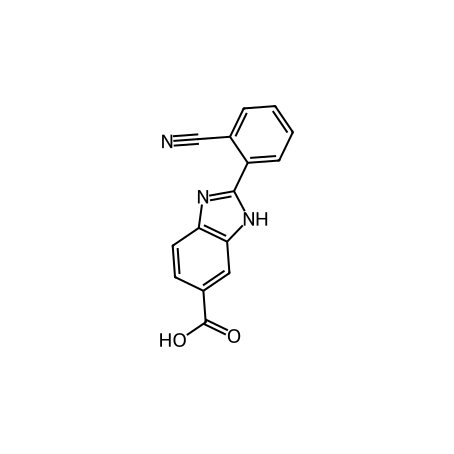 N#Cc1ccccc1-c1nc2ccc(C(=O)O)cc2[nH]1